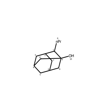 CCC[C]1C2CC3CC(C2)CC1(O)C3